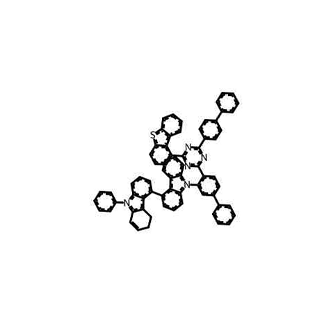 C1=Cc2c(c3c(-c4cccc5c4c4ccccc4n5-c4cc(-c5ccccc5)ccc4-c4nc(-c5ccc(-c6ccccc6)cc5)nc(-c5cccc6sc7ccccc7c56)n4)cccc3n2-c2ccccc2)CC1